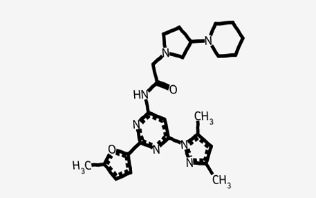 Cc1cc(C)n(-c2cc(NC(=O)CN3CCC(N4CCCCC4)C3)nc(-c3ccc(C)o3)n2)n1